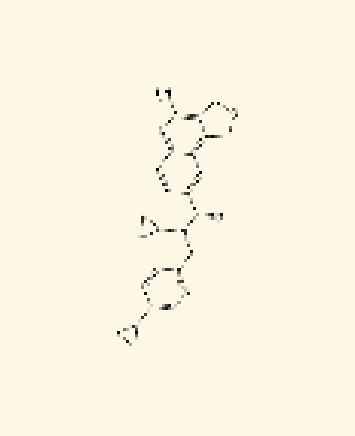 Nc1nc2ccc(C(=O)N(Cc3ccc(C4CC4)cn3)C3CC3)cc2c2c1COC2